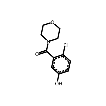 O=C(c1cc(O)ccc1Cl)N1CCOCC1